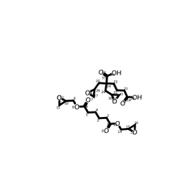 O=C(CCCCC(=O)OCC1CO1)OCC1CO1.O=C(O)CCCC(CC1CO1)(CC1CO1)C(=O)O